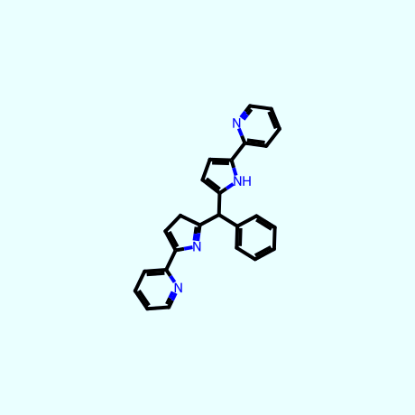 C1=C(c2ccccn2)N=C(C(c2ccccc2)c2ccc(-c3ccccn3)[nH]2)C1